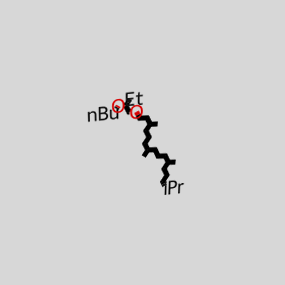 CCCCOC(CC)COCCC(C)CCCC(C)CCCC(C)CCCC(C)C